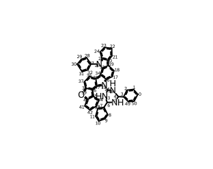 c1ccc(C2NC(c3ccccc3)NC(n3c4ccc5c6ccccc6n(-c6ccccc6)c5c4c4ccc5oc6ccccc6c5c43)N2)cc1